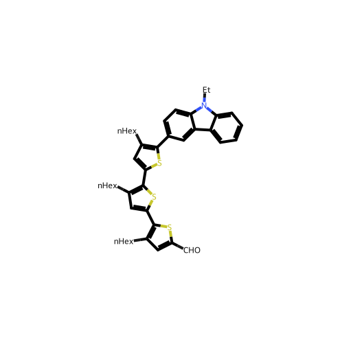 CCCCCCc1cc(-c2sc(-c3sc(C=O)cc3CCCCCC)cc2CCCCCC)sc1-c1ccc2c(c1)c1ccccc1n2CC